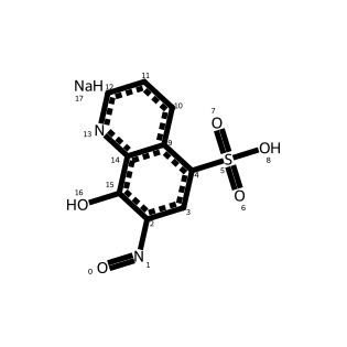 O=Nc1cc(S(=O)(=O)O)c2cccnc2c1O.[NaH]